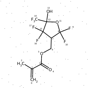 C=C(C)C(=O)OCC1C(F)(F)OC(O)(C(F)(F)F)C1(F)F